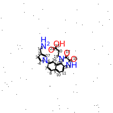 NCc1ccn(-c2ccc3ccc4[nH]c(=O)c(=O)n(CCC(=O)O)c4c3c2)c1